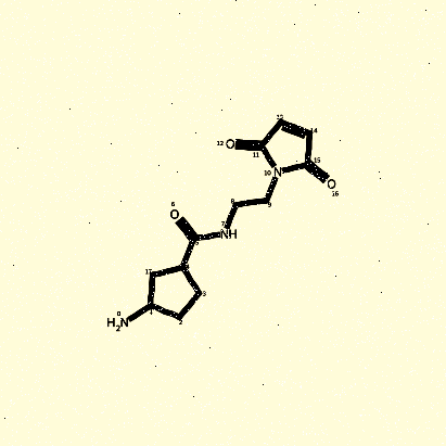 NC1CCC(C(=O)NCCN2C(=O)C=CC2=O)C1